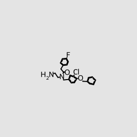 NCCN(Cc1ccc(OCc2ccccc2)c(Cl)c1)C(=O)Cc1ccc(F)cc1